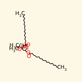 CCCCCCCCCCCCCCCCCC(=O)OCC(COC(=O)CCCCCCCCCCCCCCCCC)CC(=O)OC(C)(C)C